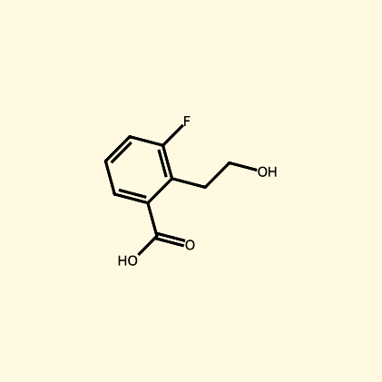 O=C(O)c1cccc(F)c1CCO